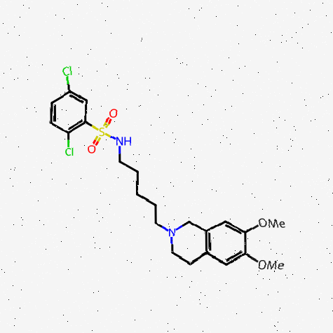 COc1cc2c(cc1OC)CN(CCCCCNS(=O)(=O)c1cc(Cl)ccc1Cl)CC2